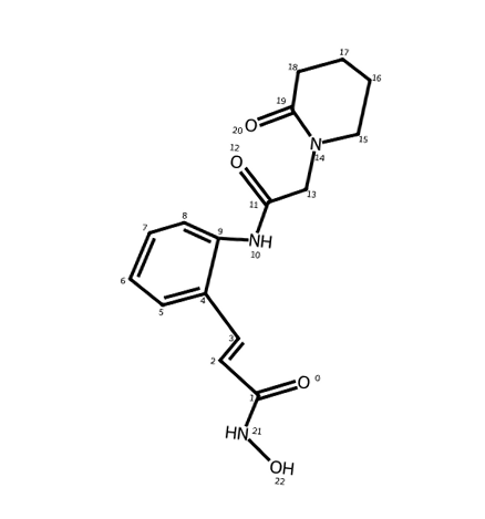 O=C(C=Cc1ccccc1NC(=O)CN1CCCCC1=O)NO